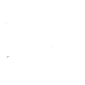 CCCCC(C)(C)c1cc2c(cc1Cl)C=C(C(=O)OCC)[C@H](C(F)(F)F)O2